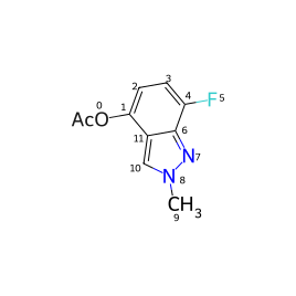 CC(=O)Oc1ccc(F)c2nn(C)cc12